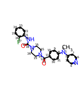 CN(c1ccncc1)c1ccc(C(=O)N2CCN(C(=O)Nc3ccccc3F)CC2)cc1